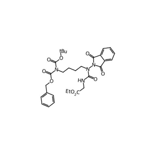 CCOC(=O)CNC(=O)N(CCCCN(C(=O)OCc1ccccc1)C(=O)OC(C)(C)C)N1C(=O)c2ccccc2C1=O